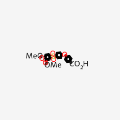 COOc1ccc(S(=O)(=O)C2=CC=C(Oc3ccc(C(=O)O)cc3)CC2)cc1OOC